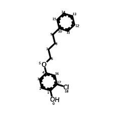 Oc1ccc(OCCCCc2ccccc2)cc1Cl